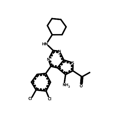 CC(=O)c1sc2nc(NC3CCCCC3)nc(-c3ccc(Cl)c(Cl)c3)c2c1N